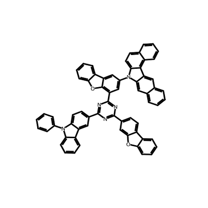 c1ccc(-n2c3ccccc3c3cc(-c4nc(-c5ccc6c(c5)oc5ccccc56)nc(-c5cc(-n6c7cc8ccccc8cc7c7c8ccccc8ccc76)cc6c5oc5ccccc56)n4)ccc32)cc1